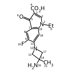 CCn1cc(C(=O)O)c(=O)c2cc(F)c(N3CC(C)(N)C3)cc21